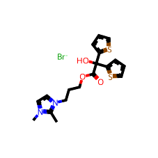 Cc1n(CCCOC(=O)C(O)(c2cccs2)c2cccs2)cc[n+]1C.[Br-]